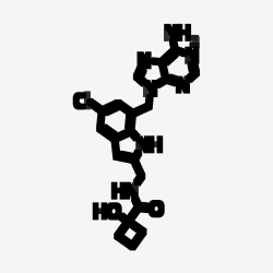 Nc1ncnc2c1ncn2Cc1cc(Cl)cc2cc(CNC(=O)C3(O)CCC3)[nH]c12